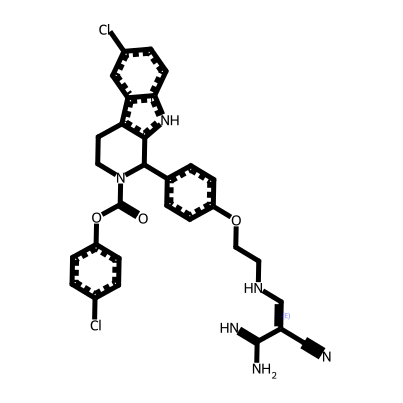 N#C/C(=C/NCCOc1ccc(C2c3[nH]c4ccc(Cl)cc4c3CCN2C(=O)Oc2ccc(Cl)cc2)cc1)C(=N)N